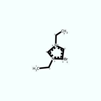 Br.CCn1cc[n+](CC)c1